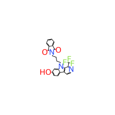 O=C1c2ccccc2C(=O)N1CCCCn1c2cc(O)ccc2c2ccnc(C(F)(F)F)c21